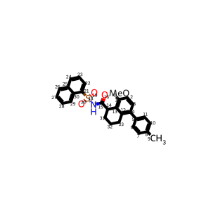 COc1ccc(-c2ccc(C)cc2)c2c1C(C(=O)NS(=O)(=O)c1cccc3ccccc13)CCC2